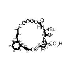 CC(C)(C)[C@@H]1NC(=O)OCCCCC/C=C/c2ccccc2C#CCO[C@@H]2C[C@@H](C(=O)O)N(C2)C1=O